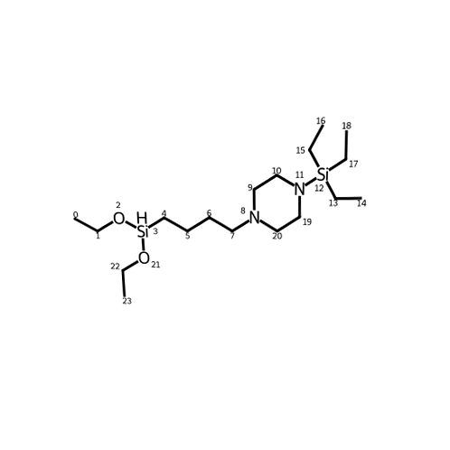 CCO[SiH](CCCCN1CCN([Si](CC)(CC)CC)CC1)OCC